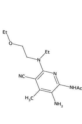 CCOCCN(CC)c1nc(NC(C)=O)c(N)c(C)c1C#N